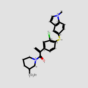 C=C(C(=O)N1CCCC(C(=O)OCC)C1)c1ccc(Sc2ccc3c(ccn3C)c2)c(Cl)c1